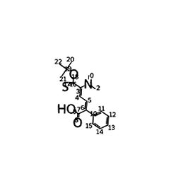 CN(C)C(=CC=C(C(=O)O)c1ccccc1)C(=S)OC(C)(C)C